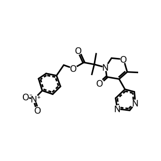 CC1=C(c2cncnc2)C(=O)N(C(C)(C)C(=O)OCc2ccc([N+](=O)[O-])cc2)CO1